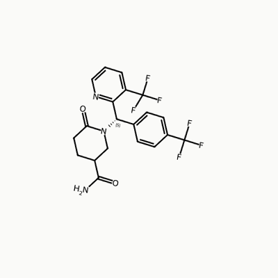 NC(=O)C1CCC(=O)N([C@@H](c2ccc(C(F)(F)F)cc2)c2ncccc2C(F)(F)F)C1